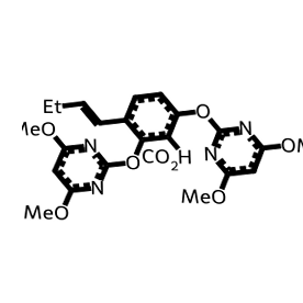 CCC=Cc1ccc(Oc2nc(OC)cc(OC)n2)c(C(=O)O)c1Oc1nc(OC)cc(OC)n1